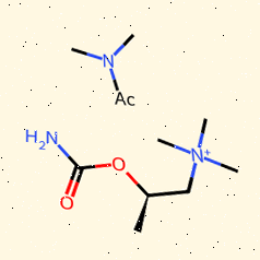 CC(=O)N(C)C.C[C@H](C[N+](C)(C)C)OC(N)=O